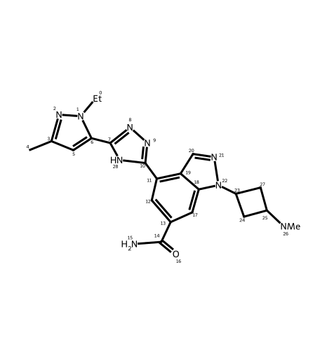 CCn1nc(C)cc1-c1nnc(-c2cc(C(N)=O)cc3c2cnn3C2CC(NC)C2)[nH]1